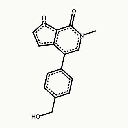 Cn1cc(-c2ccc(CO)cc2)c2cc[nH]c2c1=O